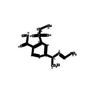 CCOC(=O)N(N=C[N+](=O)[O-])c1ccc(C(=O)OC)c(S(=O)(=O)NC(C)(C)C)c1